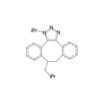 CC(C)CC1Cc2ccccc2-c2nnn(C(C)C)c2-c2ccccc21